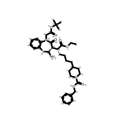 CCOC(=O)[C@H](CCCCC1CCN(C(=O)OCc2ccccc2)CC1)[C@@H]1C(=O)N(CC(=O)OC(C)(C)C)c2ccccc2SC1N